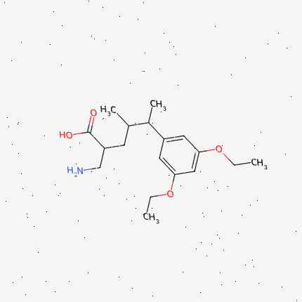 CCOc1cc(OCC)cc(C(C)C(C)CC(CN)C(=O)O)c1